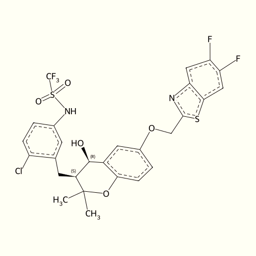 CC1(C)Oc2ccc(OCc3nc4cc(F)c(F)cc4s3)cc2[C@H](O)[C@@H]1Cc1cc(NS(=O)(=O)C(F)(F)F)ccc1Cl